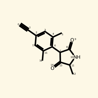 C#Cc1cc(C)c(C2C(=O)NC(C)C2=O)c(C)c1